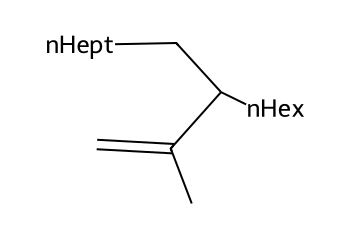 C=C(C)C(CCCCCC)CCCCCCCC